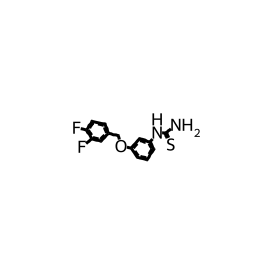 NC(=S)Nc1cccc(OCc2ccc(F)c(F)c2)c1